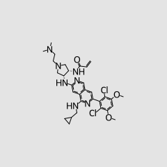 C=CC(=O)N[C@H]1CN(CCN(C)C)C[C@H]1Nc1cc2c(NCC3CC3)nc(-c3c(Cl)c(OC)cc(OC)c3Cl)cc2cn1